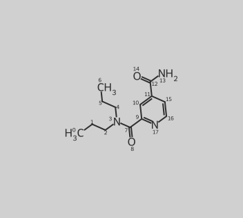 CCCN(CCC)C(=O)c1cc(C(N)=O)ccn1